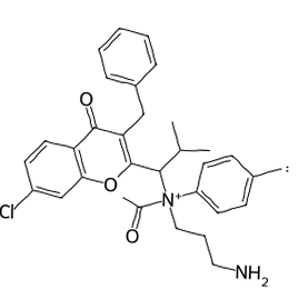 [CH]c1ccc([N+](CCCN)(C(C)=O)C(c2oc3cc(Cl)ccc3c(=O)c2Cc2ccccc2)C(C)C)cc1